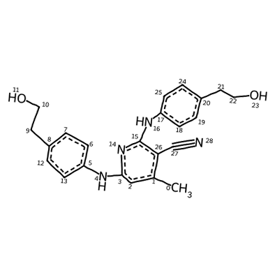 Cc1cc(Nc2ccc(CCO)cc2)nc(Nc2ccc(CCO)cc2)c1C#N